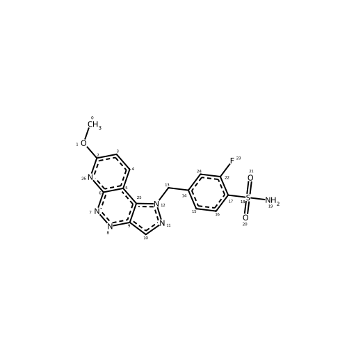 COc1ccc2c(nnc3cnn(Cc4ccc(S(N)(=O)=O)c(F)c4)c32)n1